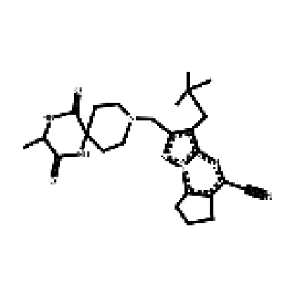 CC1NC(=O)C2(CCN(Cc3nn4c5c(c(C#N)nc4c3CC(C)(C)C)CCC5)CC2)NC1=O